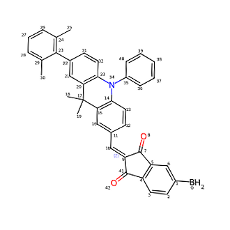 Bc1ccc2c(c1)C(=O)/C(=C\c1ccc3c(c1)C(C)(C)c1cc(-c4c(C)cccc4C)ccc1N3c1ccccc1)C2=O